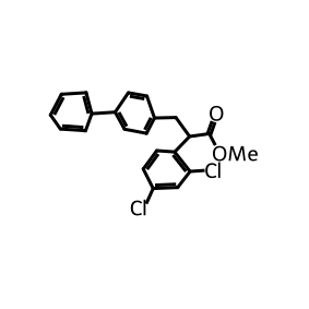 COC(=O)C(Cc1ccc(-c2ccccc2)cc1)c1ccc(Cl)cc1Cl